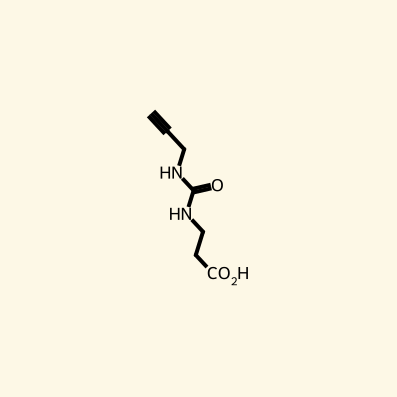 C#CCNC(=O)NCCC(=O)O